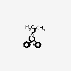 CC(C)=CCN1CCC2(c3ccccc3)Oc3ccccc3C2C1